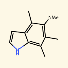 CNc1c(C)c(C)c2[nH]ccc2c1C